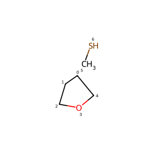 C1CCOC1.CS